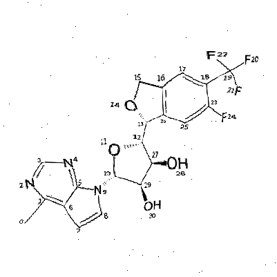 Cc1ncnc2c1ccn2[C@@H]1O[C@H]([C@@H]2OCc3cc(C(F)(F)F)c(F)cc32)[C@@H](O)[C@H]1O